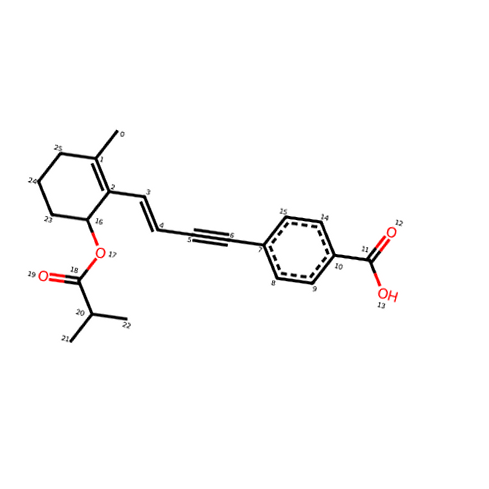 CC1=C(/C=C/C#Cc2ccc(C(=O)O)cc2)C(OC(=O)C(C)C)CCC1